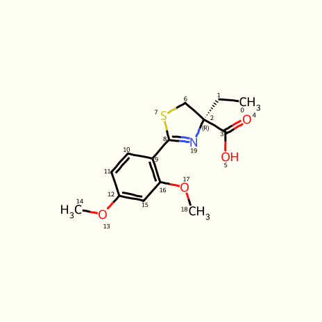 CC[C@@]1(C(=O)O)CSC(c2ccc(OC)cc2OC)=N1